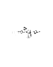 CCOc1ccc(C[C@@H](NC(=O)Oc2sccc2Cl)C(=O)N(C)[C@@H](Cc2ccccc2)C(=O)NCc2ccc(CN)cc2)cc1